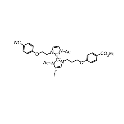 CCOC(=O)c1ccc(OCCCn2ccn(C(C)=O)[c+]2-[c+]2n(CCOc3ccc(C#N)cc3)ccn2C(C)=O)cc1.[I-].[I-]